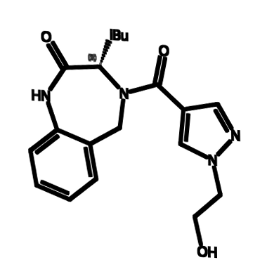 CCC(C)[C@H]1C(=O)Nc2ccccc2CN1C(=O)c1cnn(CCO)c1